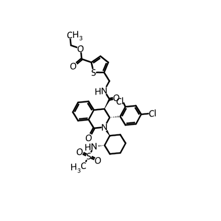 CCOC(=O)c1ccc(CNC(=O)[C@@H]2c3ccccc3C(=O)N([C@H]3CCCC[C@@H]3NS(C)(=O)=O)[C@H]2c2ccc(Cl)cc2Cl)s1